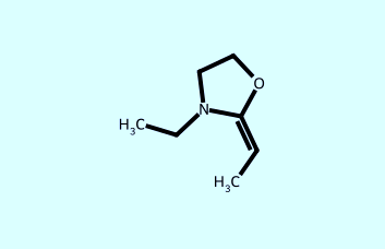 CC=C1OCCN1CC